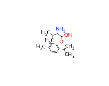 C=C(C)c1ccc(C)cc1.CC(C)[C@H](N)C(=O)O